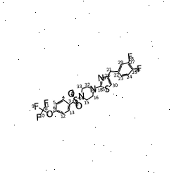 O=S(=O)(c1ccc(OC(F)(F)F)cc1)N1CCN(c2nc(Cc3ccc(F)c(F)c3)cs2)CC1